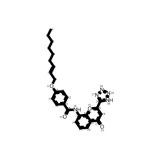 CCCCCC/C=C/COc1ccc(C(=O)Nc2cccc3c(=O)cc(-c4nnn[nH]4)oc23)cc1